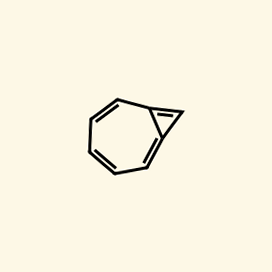 C1=CC=C2C=C2C=C1